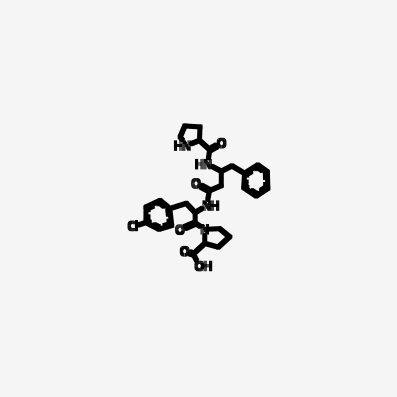 O=C(CC(Cc1ccccc1)NC(=O)C1CCCN1)NC(Cc1ccc(Cl)cc1)C(=O)N1CCCC1C(=O)O